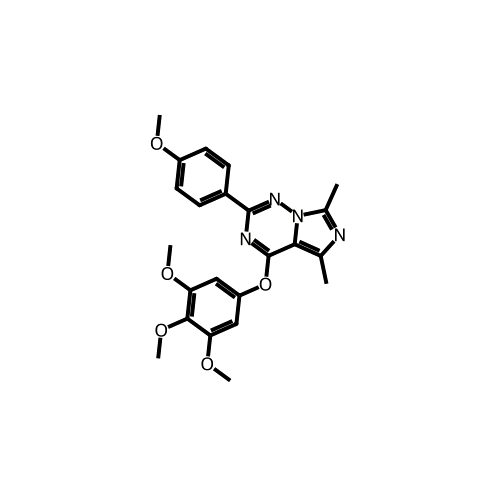 COc1ccc(-c2nc(Oc3cc(OC)c(OC)c(OC)c3)c3c(C)nc(C)n3n2)cc1